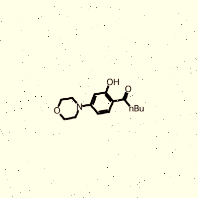 CCCCC(=O)c1ccc(N2CCOCC2)cc1O